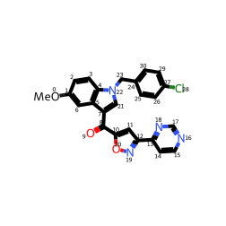 COc1ccc2c(c1)c(C(=O)c1cc(-c3ccncn3)no1)cn2Cc1ccc(Cl)cc1